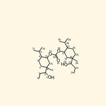 CCC(O)C1(C)CCC(C(C)C)C(OC(=O)OC2CC(C)(C(O)CC)CCC2C(C)C)C1